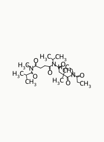 CCC(=O)N(CC)C(=O)C(C)(C)CC(=O)N(C(=O)CCC(=O)N(C)C(=O)C(C)C)C(C)C